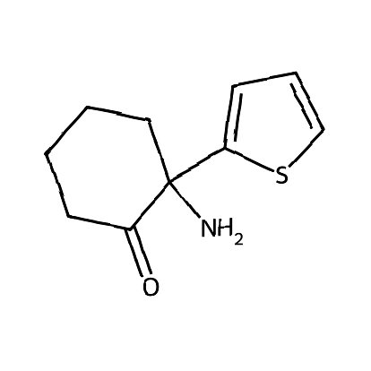 NC1(c2cccs2)CCCCC1=O